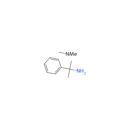 CC(C)(N)c1ccccc1.CNC